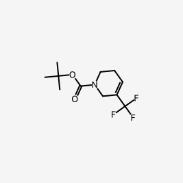 CC(C)(C)OC(=O)N1CCC=C(C(F)(F)F)C1